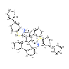 CC(C)(C)[Si]1(c2ccccc2)C(c2nc3cc(-c4ccccc4)ccc3s2)=C(c2ccccc2)C(c2ccccc2)=C1c1nc2cc(-c3ccccc3)ccc2s1